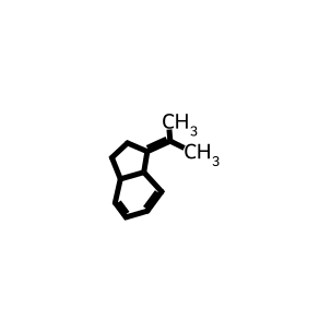 CC(C)=C1CCC2C=CC=CC12